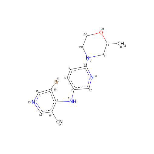 CC1CN(c2ccc(Nc3c(Br)cncc3C#N)cn2)CCO1